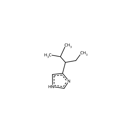 CCC(c1c[nH]cn1)C(C)C